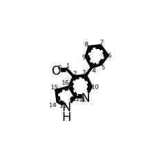 O=Cc1c(-c2ccccc2)cnc2[nH]ccc12